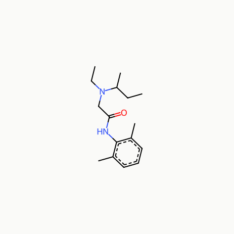 CCC(C)N(CC)CC(=O)Nc1c(C)cccc1C